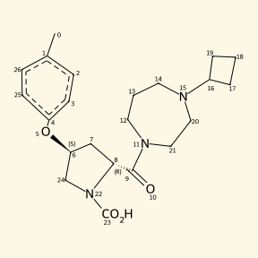 Cc1ccc(O[C@H]2C[C@H](C(=O)N3CCCN(C4CCC4)CC3)N(C(=O)O)C2)cc1